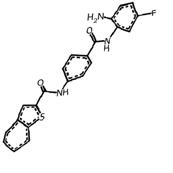 Nc1ccc(F)cc1NC(=O)c1ccc(NC(=O)c2cc3ccccc3s2)cc1